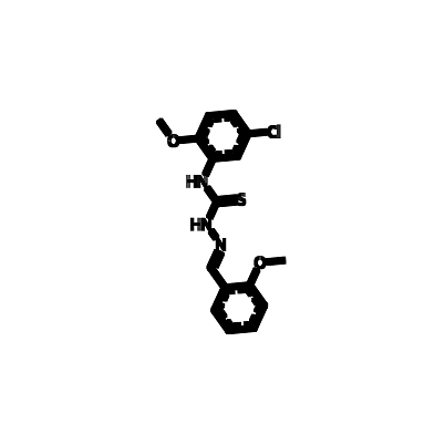 COc1ccccc1/C=N/NC(=S)Nc1cc(Cl)ccc1OC